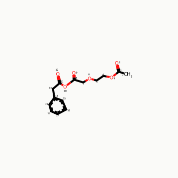 CC(=O)OCCOCC(=O)OC(=O)Cc1ccccc1